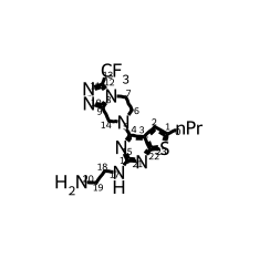 CCCc1cc2c(N3CCn4c(nnc4C(F)(F)F)C3)nc(NCCN)nc2s1